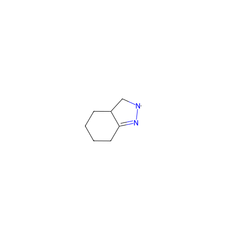 C1CCC2C[N]N=C2C1